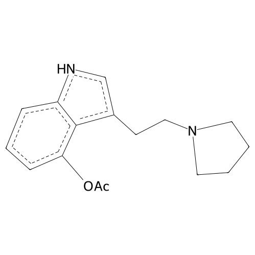 CC(=O)Oc1cccc2[nH]cc(CCN3CCCC3)c12